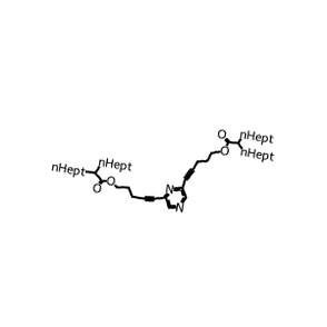 CCCCCCCC(CCCCCCC)C(=O)OCCCC#Cc1cncc(C#CCCCOC(=O)C(CCCCCCC)CCCCCCC)n1